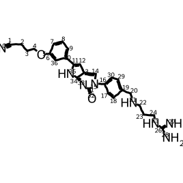 N#CCCCOc1cccc(-c2cc3cn(-c4ccc(CNCCCNC(=N)N)cc4)c(=O)nc3[nH]2)c1